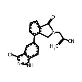 C=C(C#N)CN1Cc2c(cccc2-c2ccc3[nH]nc(Cl)c3c2)C1=O